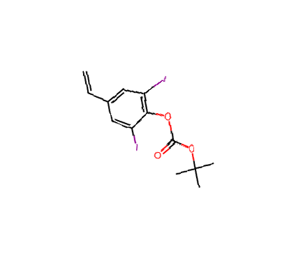 C=Cc1cc(I)c(OC(=O)OC(C)(C)C)c(I)c1